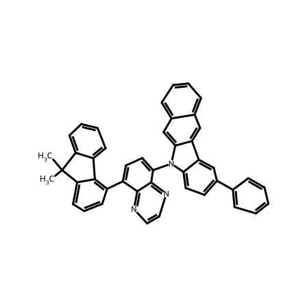 CC1(C)c2ccccc2-c2c(-c3ccc(-n4c5ccc(-c6ccccc6)cc5c5cc6ccccc6cc54)c4nccnc34)cccc21